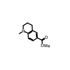 COC(=O)c1ccc2c(c1)CCCN2C